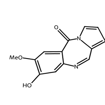 COc1cc2c(=O)n3cccc3cnc2cc1O